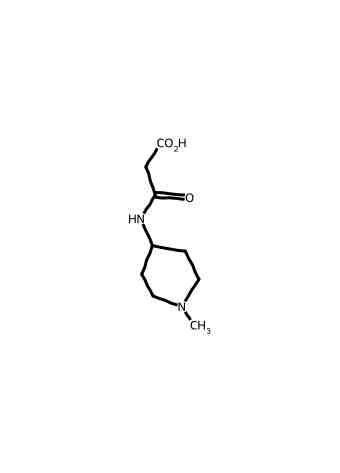 CN1CCC(NC(=O)CC(=O)O)CC1